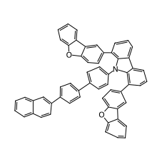 c1ccc2cc(-c3ccc(-c4ccc(-n5c6c(-c7ccc8oc9ccccc9c8c7)cccc6c6cccc(-c7ccc8oc9ccccc9c8c7)c65)cc4)cc3)ccc2c1